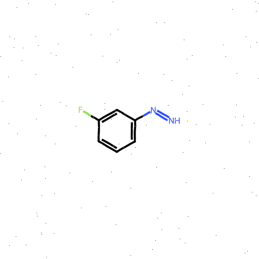 N=Nc1cccc(F)c1